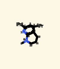 CC(C)c1cc(C(C)C)c2c(n1)N(C)CCC2